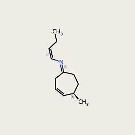 CC/C=C\N=C1/CC=C[C@H](C)CC1